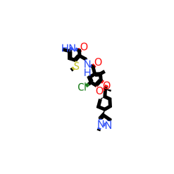 CSc1cc(C)[nH]c(=O)c1CNC(=O)c1cc(Cl)c2c(c1C)O[C@](C)([C@H]1CC[C@H](c3cnn(C)c3)CC1)O2